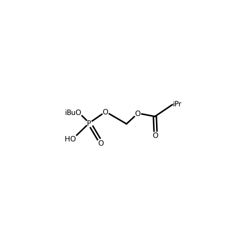 CC(C)COP(=O)(O)OCOC(=O)C(C)C